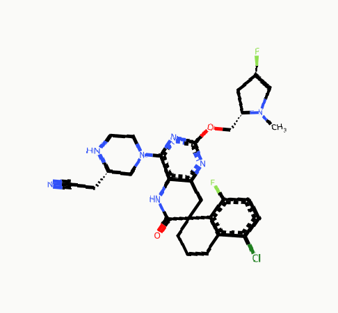 CN1C[C@H](F)C[C@H]1COc1nc2c(c(N3CCN[C@@H](CC#N)C3)n1)NC(=O)C1(CCCc3c(Cl)ccc(F)c31)C2